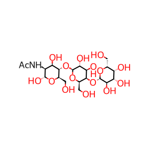 CC(=O)N[C@H]1[C@@H](O)[C@H](O[C@@H]2O[C@H](CO)[C@H](O[C@@H]3O[C@H](CO)[C@H](O)[C@H](O)[C@H]3O)[C@H](O)[C@H]2O)[C@@H](CO)O[C@@H]1O